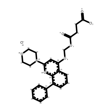 O=C(Cl)CCC(=O)OCOc1cc(N2CCOCC2)[o+]c2c(-c3ccccc3)cccc12.[Cl-]